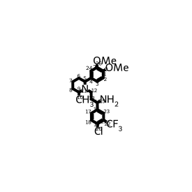 COc1ccc(C2CCCC(C)N2CCC(N)c2ccc(Cl)c(C(F)(F)F)c2)cc1OC